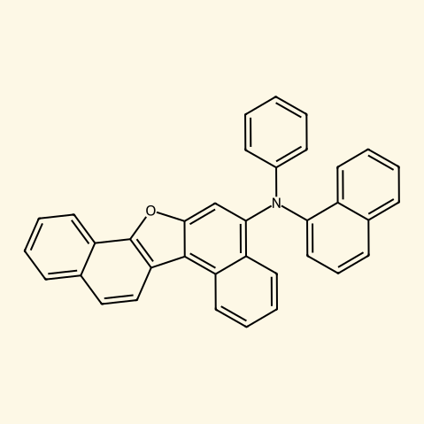 c1ccc(N(c2cccc3ccccc23)c2cc3oc4c5ccccc5ccc4c3c3ccccc23)cc1